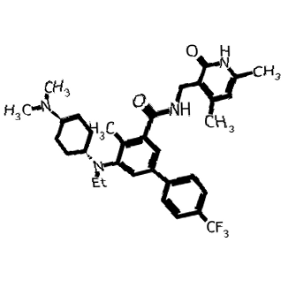 CCN(c1cc(-c2ccc(C(F)(F)F)cc2)cc(C(=O)NCc2c(C)cc(C)[nH]c2=O)c1C)[C@H]1CC[C@H](N(C)C)CC1